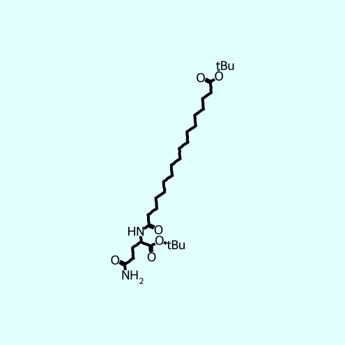 CC(C)(C)OC(=O)CCCCCCCCCCCCCCCCC(=O)NC(CCC(N)=O)C(=O)OC(C)(C)C